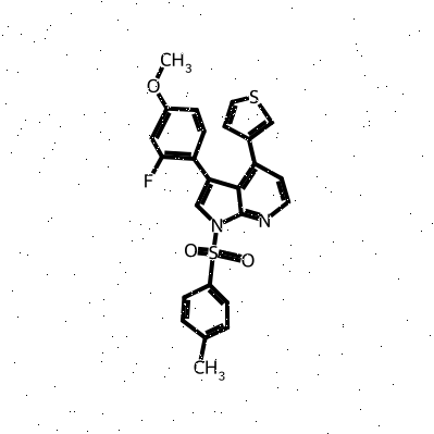 COc1ccc(-c2cn(S(=O)(=O)c3ccc(C)cc3)c3nccc(-c4ccsc4)c23)c(F)c1